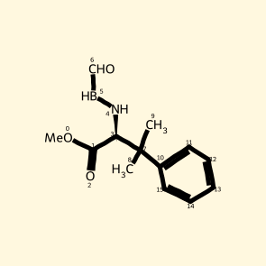 COC(=O)[C@@H](NBC=O)C(C)(C)c1ccccc1